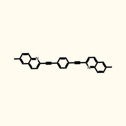 Cc1ccc2nc(C#Cc3ccc(C#Cc4ccc5cc(C)ccc5n4)cc3)ccc2c1